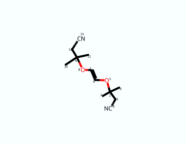 CC(C)(CC#N)O/C=C/OC(C)(C)CC#N